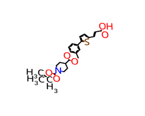 CC(C)(C)OC(=O)N1CCC(C2OCc3cc(-c4ccc(/C=C/C(=O)O)s4)ccc3O2)CC1